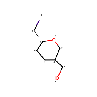 OCC1CC[C@H](CI)OC1